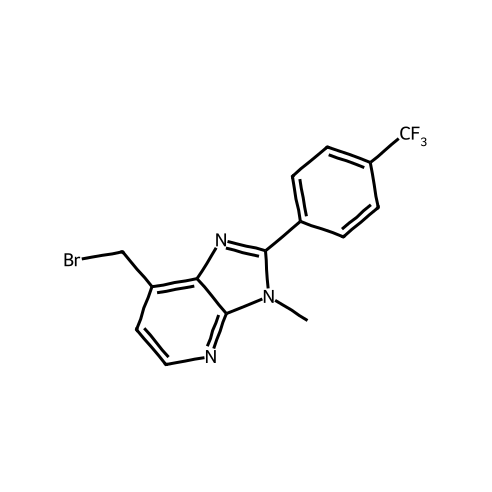 Cn1c(-c2ccc(C(F)(F)F)cc2)nc2c(CBr)ccnc21